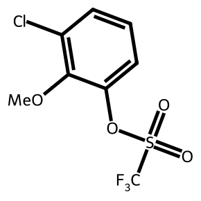 COc1c(Cl)cccc1OS(=O)(=O)C(F)(F)F